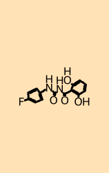 O=C(NC(=O)c1c(O)cccc1O)Nc1ccc(F)cc1